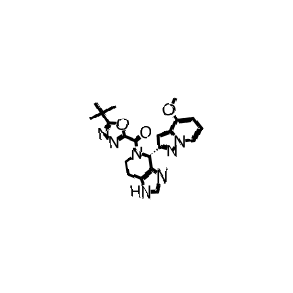 COc1cccn2nc([C@@H]3c4nc[nH]c4CCN3C(=O)c3nnc(C(C)(C)C)o3)cc12